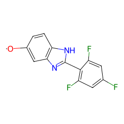 [O]c1ccc2[nH]c(-c3c(F)cc(F)cc3F)nc2c1